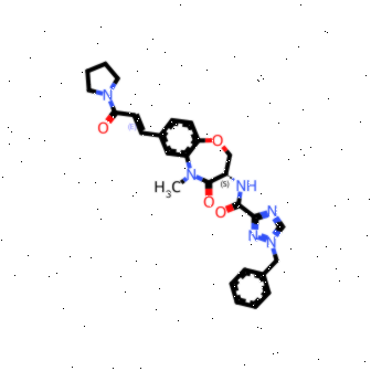 CN1C(=O)[C@@H](NC(=O)c2ncn(Cc3ccccc3)n2)COc2ccc(/C=C/C(=O)N3CCCC3)cc21